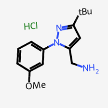 COc1cccc(-n2nc(C(C)(C)C)cc2CN)c1.Cl